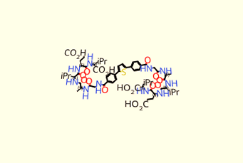 CC(C)[C@H](NC(=O)[C@H](CCC(=O)O)NC(=O)[C@@H](NC(=O)[C@H](C)NC(=O)CNC(=O)c1ccc(-c2ccc(-c3ccc(C(=O)NCC(=O)N[C@@H](C)C(=O)N[C@H](C(=O)N[C@@H](CCC(=O)O)C(=O)N[C@H](C(=O)O)C(C)C)C(C)C)cc3)s2)cc1)C(C)C)C(=O)O